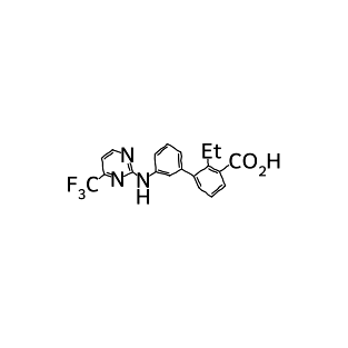 CCc1c(C(=O)O)cccc1-c1cccc(Nc2nccc(C(F)(F)F)n2)c1